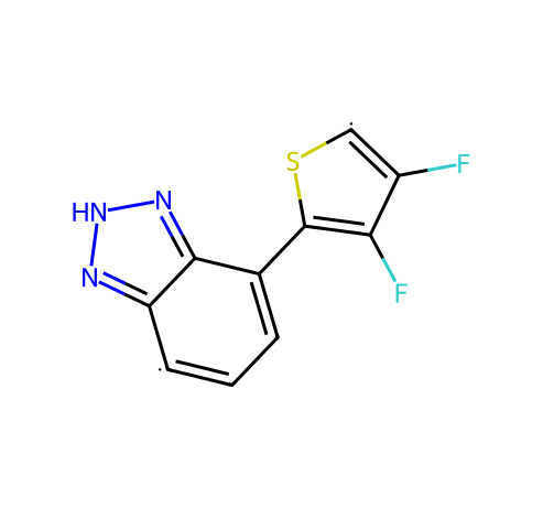 Fc1[c]sc(-c2cc[c]c3n[nH]nc23)c1F